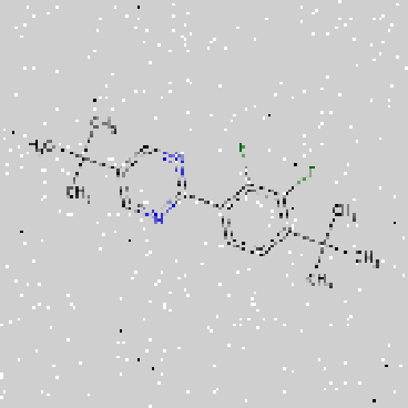 CC(C)(C)c1cnc(-c2ccc(C(C)(C)C)c(F)c2F)nc1